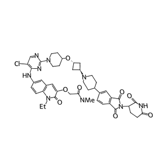 CCn1c(=O)c(OCC(=O)NC)cc2cc(Nc3nc(N4CCC(O[C@H]5C[C@H](N6CCC(c7ccc8c(c7)C(=O)N(C7CCC(=O)NC7=O)C8=O)CC6)C5)CC4)ncc3Cl)ccc21